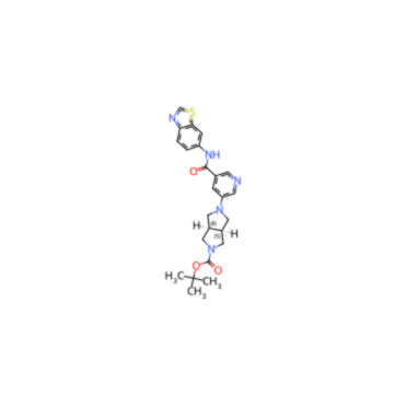 CC(C)(C)OC(=O)N1C[C@@H]2CN(c3cncc(C(=O)Nc4ccc5ncsc5c4)c3)C[C@@H]2C1